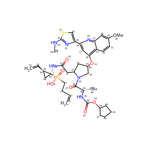 C=CCCP(=O)(O)[C@@]1(NC(=O)CC2C[C@@H](Oc3cc(-c4csc(NC(C)C)n4)nc4cc(OC)ccc34)CN2C(=O)[C@@H](NC(=O)OC2CCCC2)C(C)(C)C)C[C@H]1C=C